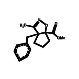 COC(=O)C12CCCC1(Cc1ccccc1)C(C)=NO2